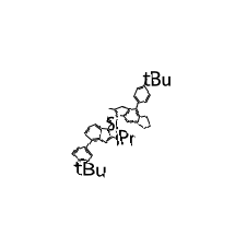 CC1=C([Si](C)(C)C2C(C(C)C)=Cc3c(-c4ccc(C(C)(C)C)cc4)cccc32)c2cc3c(c(-c4ccc(C(C)(C)C)cc4)c2C1)CCC3